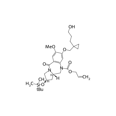 C=CCOC(=O)N1C[C@@H]2C[C@@H](O[Si](C)(C)C(C)(C)C)CN2C(=O)c2cc(OC)c(OCC3(CCCO)CC3)cc21